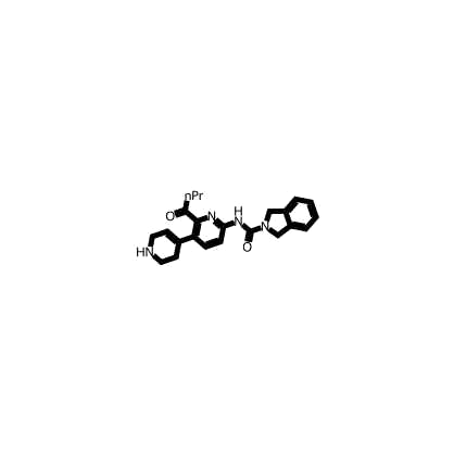 CCCC(=O)c1nc(NC(=O)N2Cc3ccccc3C2)ccc1C1=CCNCC1